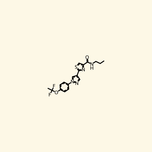 CCCNC(=O)c1csc(-c2cnn(-c3ccc(OC(C)(F)F)cc3)c2)n1